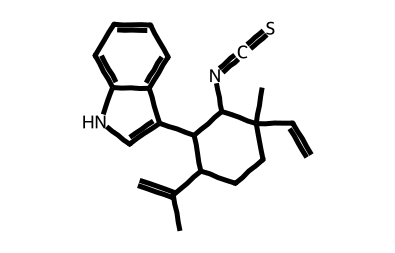 C=CC1(C)CCC(C(=C)C)C(c2c[nH]c3ccccc23)C1N=C=S